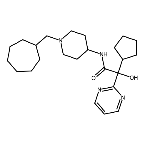 O=C(NC1CCN(CC2CCCCCC2)CC1)C(O)(c1ncccn1)C1CCCC1